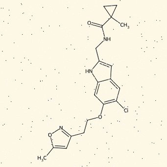 Cc1cc(CCOc2cc3[nH]c(CNC(=O)C4(C)CC4)cc3cc2Cl)no1